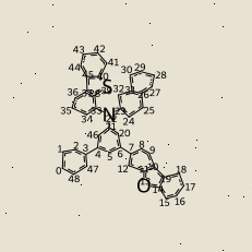 c1ccc(-c2cc(-c3ccc4c(c3)oc3ccccc34)cc(N(c3ccc4ccccc4c3)c3cccc4c3sc3ccccc34)c2)cc1